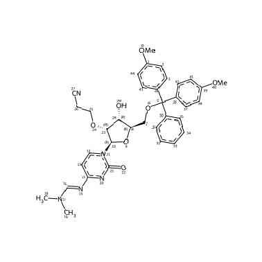 COc1ccc(C(OC[C@H]2O[C@@H](n3ccc(N=CN(C)C)nc3=O)[C@H](OCCC#N)[C@@H]2O)(c2ccccc2)c2ccc(OC)cc2)cc1